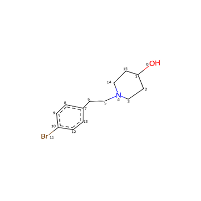 OC1CCN(CCc2ccc(Br)cc2)CC1